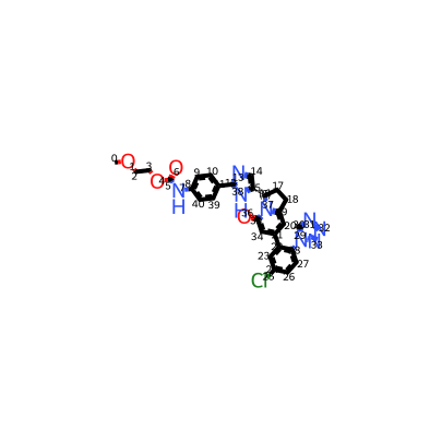 COCCOC(=O)Nc1ccc(-c2ncc([C@@H]3CCc4cc(-c5cc(Cl)ccc5-n5cnnn5)cc(=O)n43)[nH]2)cc1